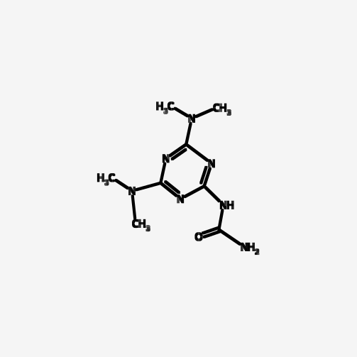 CN(C)c1nc(NC(N)=O)nc(N(C)C)n1